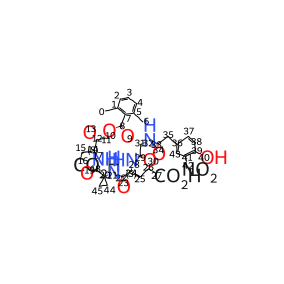 Cc1cccc(C)c1C(=O)OCC(=O)[C@H](CC(=O)O)NC(=O)C1(NC(=O)[C@H](CCC(=O)O)NC(=O)CNC(=O)Cc2ccc(O)c([N+](=O)[O-])c2)CC1